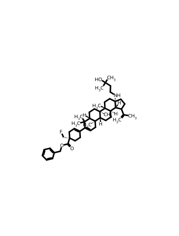 C=C(C)C1CC[C@]2(NCCC(C)(C)O)CC[C@]3(C)[C@H](CC[C@@H]4[C@@]5(C)CC=C(C6=CC[C@](CF)(C(=O)OCc7ccccc7)CC6)C(C)(C)[C@@H]5CC[C@]43C)[C@@H]12